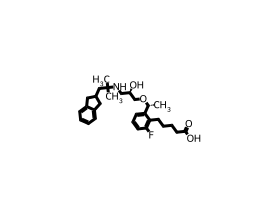 C[C@@H](OC[C@H](O)CNC(C)(C)CC1Cc2ccccc2C1)c1cccc(F)c1CCCCC(=O)O